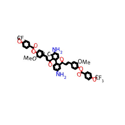 COc1cc(/C=C/C(=O)c2cc(N)ccc2-c2ccc(N)c(C)c2C(=O)/C=C/c2ccc(OC(=O)c3ccc(OC(F)(F)F)cc3)c(OC)c2)ccc1OC(=O)c1ccc(OC(F)(F)F)cc1